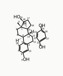 C[C@]12CC[C@@H]3c4ccc(O)cc4CC[C@H]3[C@@H]1CC[C@@H]2O.Oc1ccc(O)cc1